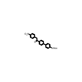 CCCCCCc1ccc(-c2ccc(C(=O)Cc3ccc([N+](=O)[O-])cc3)cc2)cc1